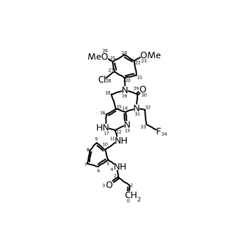 C=CC(=O)Nc1ccccc1NC1N=C2C(=CN1)CN(c1cc(OC)cc(OC)c1Cl)C(=O)N2CCF